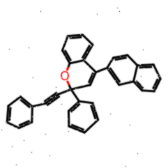 C(#CC1(c2ccccc2)C=C(c2ccc3ccccc3c2)c2ccccc2O1)c1ccccc1